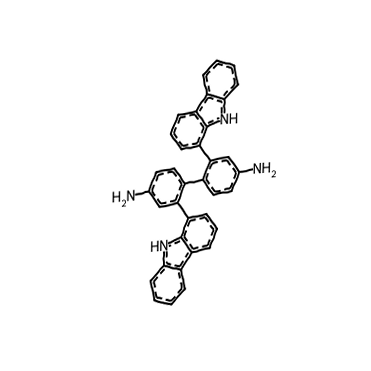 Nc1ccc(-c2ccc(N)cc2-c2cccc3c2[nH]c2ccccc23)c(-c2cccc3c2[nH]c2ccccc23)c1